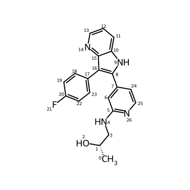 C[C@H](O)CNc1cc(-c2[nH]c3cccnc3c2-c2ccc(F)cc2)ccn1